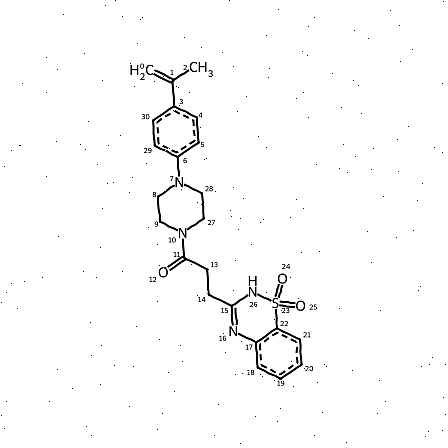 C=C(C)c1ccc(N2CCN(C(=O)CCC3=Nc4ccccc4S(=O)(=O)N3)CC2)cc1